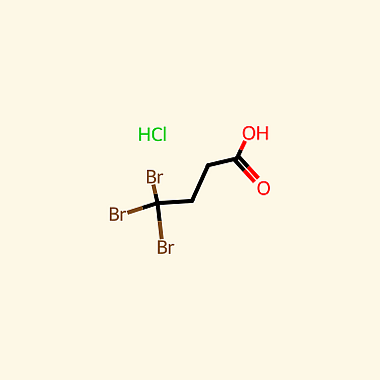 Cl.O=C(O)CCC(Br)(Br)Br